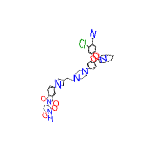 N#Cc1ccc(OC2CC3CCC(C2)N3C(=O)c2ccc(N3CCN(CCC4CN(c5ccc6c(c5)C(=O)N(C5CCC(=O)NC5=O)C6=O)C4)CC3)cc2)cc1Cl